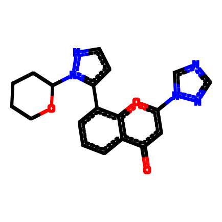 O=c1cc(-n2cncn2)oc2c(-c3ccnn3C3CCCCO3)cccc12